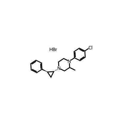 Br.CC1CN([C@@H]2C[C@H]2c2ccccc2)CCN1c1ccc(Cl)cc1